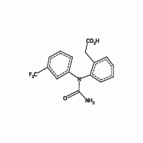 NC(=O)N(c1cccc(C(F)(F)F)c1)c1ccccc1CC(=O)O